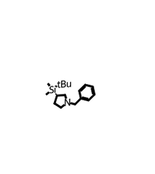 CC(C)(C)[Si](C)(C)[C@H]1CCN(Cc2ccccc2)C1